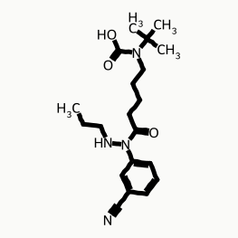 CCCNN(C(=O)CCCCN(C(=O)O)C(C)(C)C)c1cccc(C#N)c1